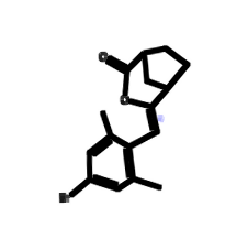 Cc1cc(Br)cc(C)c1/C=C1\OC(=O)C2CCC1C2